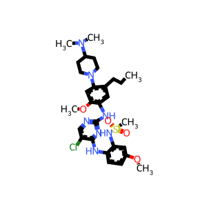 CCCc1cc(Nc2ncc(Cl)c(Nc3ccc(OC)cc3NS(C)(=O)=O)n2)c(OC)cc1N1CCC(N(C)C)CC1